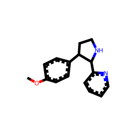 COc1ccc(C2CCNC2c2ccccn2)cc1